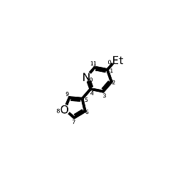 CCc1ccc(-c2ccoc2)nc1